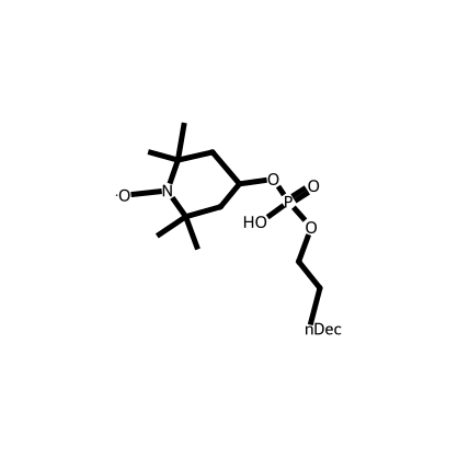 CCCCCCCCCCCCOP(=O)(O)OC1CC(C)(C)N([O])C(C)(C)C1